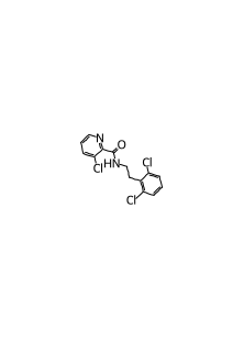 O=C(NCCc1c(Cl)cccc1Cl)c1ncccc1Cl